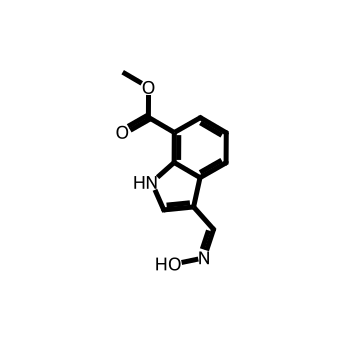 COC(=O)c1cccc2c(/C=N\O)c[nH]c12